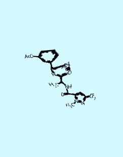 CC(=O)Oc1cccc(-c2noc(C(C)NC(=O)c3cc(C(F)(F)F)nn3C)n2)c1